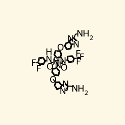 NCc1cnc2ccc(Oc3ccc(N(C(=O)Nc4ccc(C(F)(F)F)cc4)N(C(=O)Nc4ccc(F)c(F)c4)c4ccc(Oc5ccc6ncc(CN)nc6c5)cc4)cc3)cc2n1